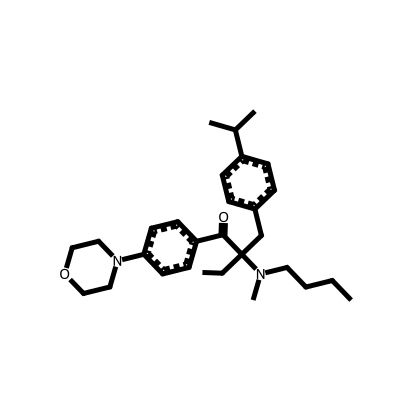 CCCCN(C)C(CC)(Cc1ccc(C(C)C)cc1)C(=O)c1ccc(N2CCOCC2)cc1